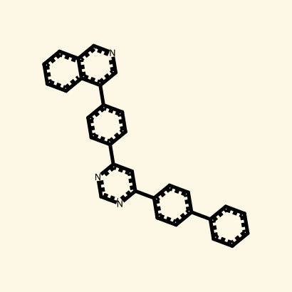 c1ccc(-c2ccc(-c3cc(-c4ccc(-c5cncc6ccccc56)cc4)ncn3)cc2)cc1